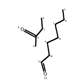 CCC(C)=O.CCCCCCC=O